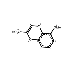 COc1cccc2c1OC=C(C(=O)O)O2